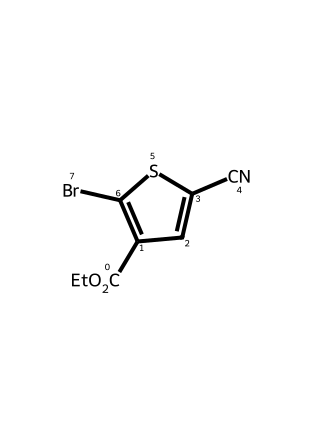 CCOC(=O)c1cc(C#N)sc1Br